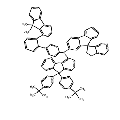 CC(C)(C)c1ccc(C2(c3ccc(C(C)(C)C)cc3)c3ccccc3-c3c(N(c4ccc(-c5ccccc5-c5cccc6c5C(C)(C)c5ccccc5-6)cc4)c4ccc5c(c4)C4(CCc6ccccc64)c4ccccc4-5)cccc32)cc1